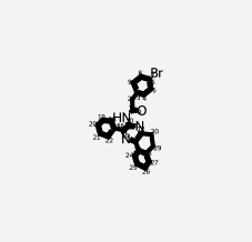 O=C(Cc1ccc(Br)cc1)Nc1nc2c(nc1-c1ccccc1)-c1ccccc1CC2